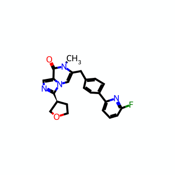 Cn1c(Cc2ccc(-c3cccc(F)n3)cc2)cn2c([C@H]3CCOC3)ncc2c1=O